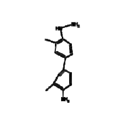 Cc1cc(-c2ccc(NN)c(C)c2)ccc1N